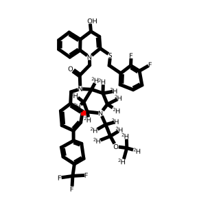 [2H]C([2H])([2H])OC([2H])([2H])C([2H])([2H])N1C([2H])([2H])C([2H])([2H])C([2H])(N(Cc2ccc(-c3ccc(C(F)(F)F)cc3)cc2)C(=O)CN2C(SCc3cccc(F)c3F)=CC(O)c3ccccc32)C([2H])([2H])C1([2H])[2H]